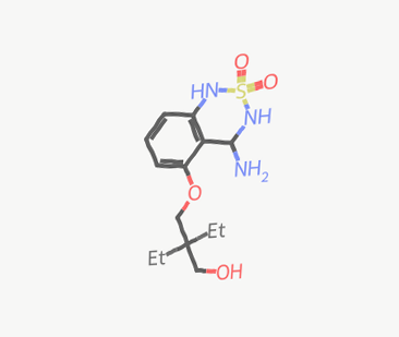 CCC(CC)(CO)COc1cccc2c1C(N)NS(=O)(=O)N2